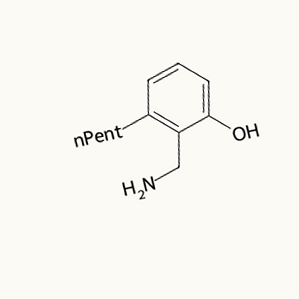 CCCCCc1cccc(O)c1CN